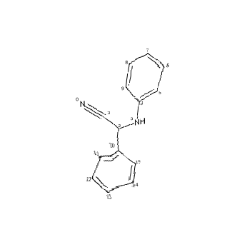 N#CC(Nc1ccccc1)c1ccccc1